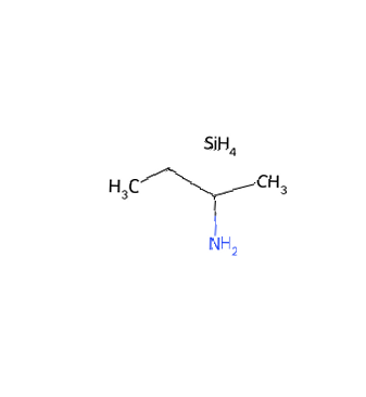 CCC(C)N.[SiH4]